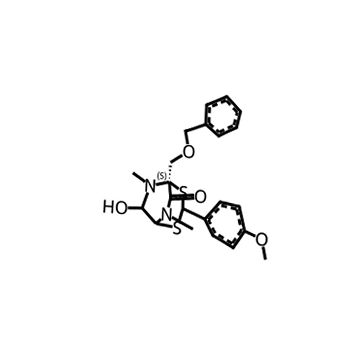 COc1ccc(C2SC3C(O)N(C)[C@@](COCc4ccccc4)(S2)C(=O)N3C)cc1